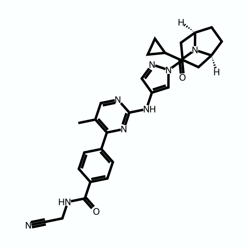 Cc1cnc(Nc2cnn(C3C[C@H]4CC[C@@H](C3)N4C(=O)C3CC3)c2)nc1-c1ccc(C(=O)NCC#N)cc1